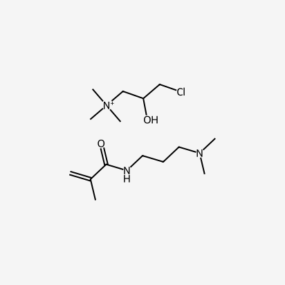 C=C(C)C(=O)NCCCN(C)C.C[N+](C)(C)CC(O)CCl